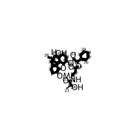 COc1ccc2c3c1OC1C(OC(=O)[C@@H](OC(=O)CCNC(=O)[C@H](C)O)c4ccccc4)=CC[C@@]4(O)[C@@H](C2)N(C)CCC314